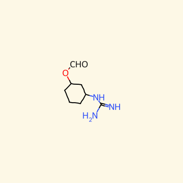 N=C(N)NC1CCCC(OC=O)C1